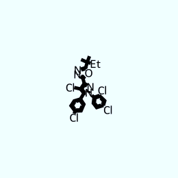 CCC(C)(C)c1nnc(-c2nn(-c3ccc(Cl)cc3Cl)c(-c3ccc(Cl)cc3)c2Cl)o1